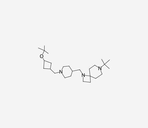 CC(C)(C)OC1CC(CN2CCC(CN3CCC34CCN(C(C)(C)C)CC4)CC2)C1